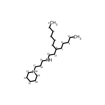 CCCCCCC(CCCCC)CCNCCCN1CCCCC1